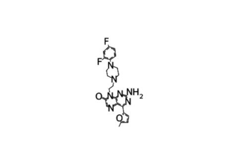 Cc1ccc(-c2nc(N)nc3c2ncc(=O)n3CCN2CCN(c3ccc(F)cc3F)CC2)o1